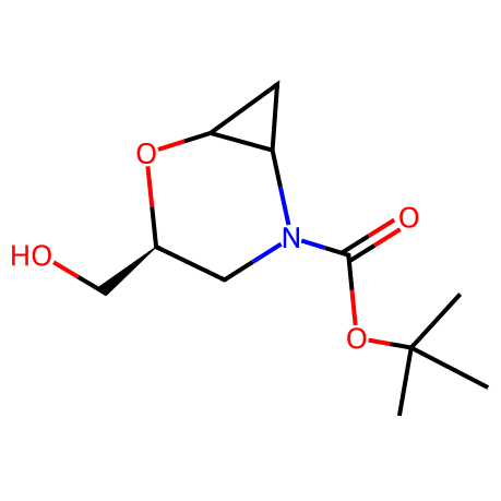 CC(C)(C)OC(=O)N1C[C@@H](CO)OC2CC21